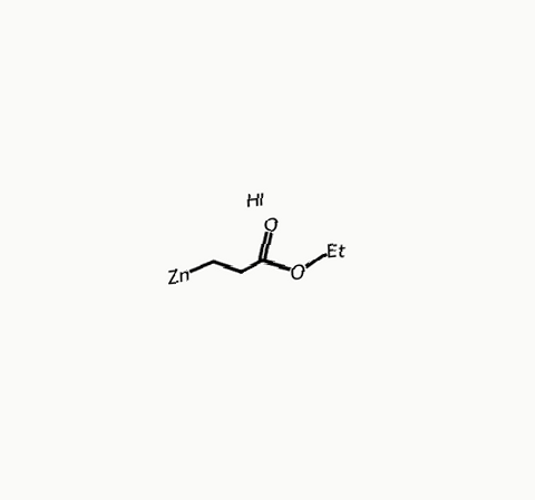 CCOC(=O)C[CH2][Zn].I